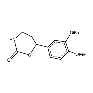 COc1ccc(C2CCNC(=O)O2)cc1OCC(C)C